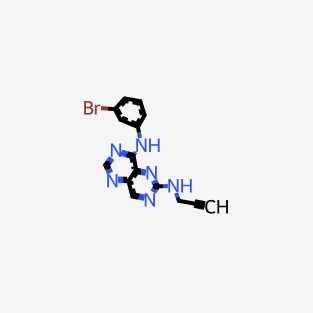 C#CCNc1ncc2ncnc(Nc3cccc(Br)c3)c2n1